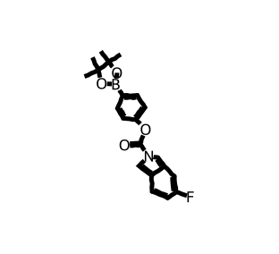 CC1(C)OB(c2ccc(OC(=O)n3cc4ccc(F)cc4c3)cc2)OC1(C)C